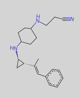 C/C(=C\c1ccccc1)[C@@H]1C[C@H]1NC1CCC(NCCC#N)CC1